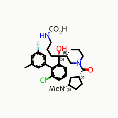 CN[C@H]1CC[C@@H](C(=O)N2CCC[C@@H]([C@@](O)(CCCNC(=O)O)c3cccc(Cl)c3-c3cc(C)cc(F)c3)C2)C1